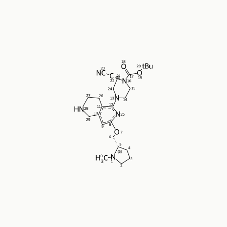 CN1CCC[C@H]1COc1cc2c(c(N3CCN(C(=O)OC(C)(C)C)[C@@H](CC#N)C3)n1)CCNC2